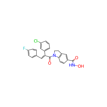 O=C(NO)c1ccc2c(c1)CCN2C(=O)/C(=C/c1ccc(F)cc1)c1cccc(Cl)c1